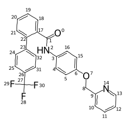 O=C(Nc1ccc(OCc2ccccn2)cc1)c1ccccc1-c1ccc(C(F)(F)F)cc1